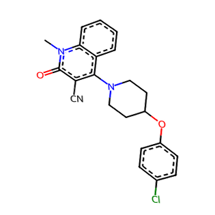 Cn1c(=O)c(C#N)c(N2CCC(Oc3ccc(Cl)cc3)CC2)c2ccccc21